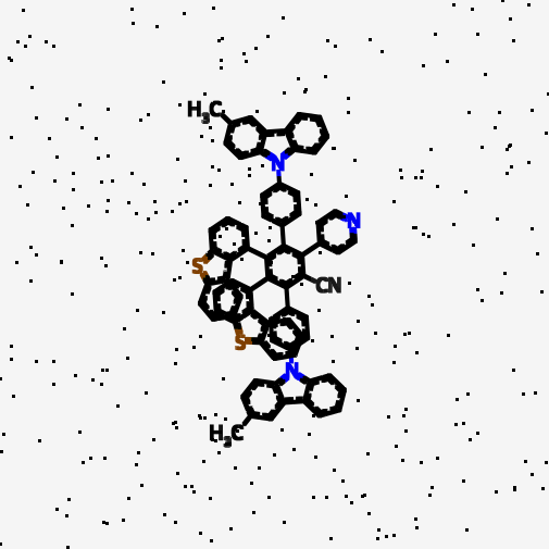 Cc1ccc2c(c1)c1ccccc1n2-c1ccc(-c2c(C#N)c(-c3ccncc3)c(-c3ccc(-n4c5ccccc5c5cc(C)ccc54)cc3)c(-c3cccc4sc5ccccc5c34)c2-c2cccc3sc4ccccc4c23)cc1